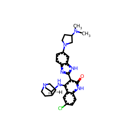 CN(C)C1CCN(c2ccc3nc(-c4c(N[C@@H]5CN6CCC5CC6)c5cc(Cl)ccc5[nH]c4=O)[nH]c3c2)C1